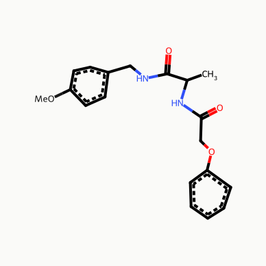 COc1ccc(CNC(=O)C(C)NC(=O)COc2ccccc2)cc1